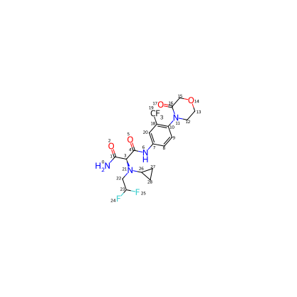 NC(=O)[C@@H](C(=O)Nc1ccc(N2CCOCC2=O)c(C(F)(F)F)c1)N(CC(F)F)C1CC1